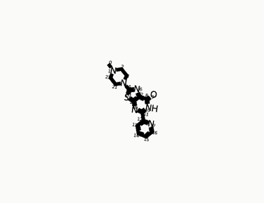 CN1CCN(c2nc3c(=O)[nH]c(-c4ccccn4)nc3s2)CC1